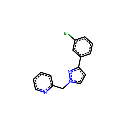 Brc1cccc(-c2ccn(Cc3ccccn3)n2)c1